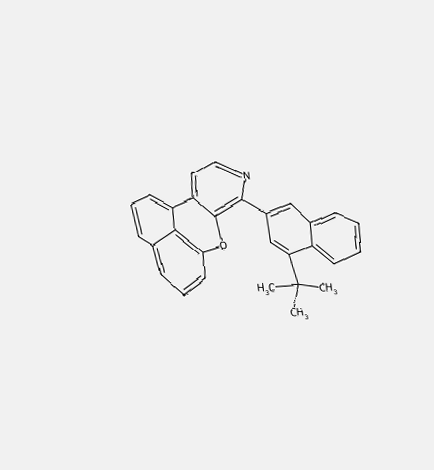 CC(C)(C)c1cc(-c2nccc3c2Oc2cccc4cccc-3c24)cc2ccccc12